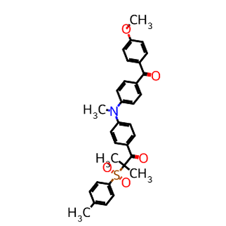 COc1ccc(C(=O)c2ccc(N(C)c3ccc(C(=O)C(C)(C)S(=O)(=O)c4ccc(C)cc4)cc3)cc2)cc1